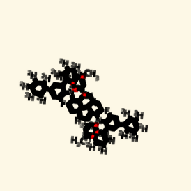 [2H]c1c([2H])c([2H])c(-c2cc(F)c(N(c3c(C)cc(C)cc3C)c3ccc4ccc5c(N(c6c(C)cc(C)cc6C)c6c(F)cc(-c7c([2H])c([2H])c([2H])c([2H])c7[2H])cc6-c6c([2H])c([2H])c([2H])c([2H])c6[2H])ccc6ccc3c4c65)c(-c3c([2H])c([2H])c([2H])c([2H])c3[2H])c2)c([2H])c1[2H]